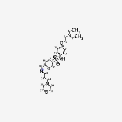 CCN(CC)CCOc1ccc(NS(=O)(=O)c2ccc(/C=N\CCCN3CCOCC3)cc2)cc1